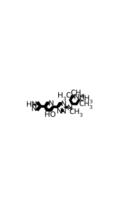 CN(c1ncc(-c2ncc(-c3cn[nH]c3)cc2O)nn1)C1CC(C)(C)NC(C)(C)C1